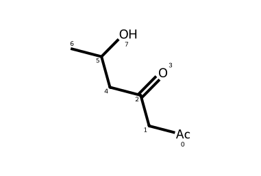 CC(=O)CC(=O)CC(C)O